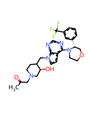 CC(=O)CN1CCC(Cn2ccc3c(N4CCOC[C@H]4c4cccc(C(F)(F)F)c4)ncnc32)[C@@H](O)C1